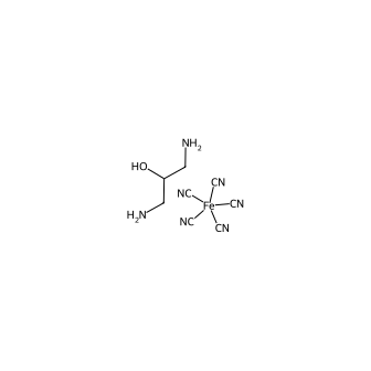 N#[C][Fe]([C]#N)([C]#N)([C]#N)[C]#N.NCC(O)CN